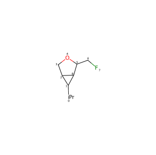 CC(C)C1C2COC(CF)C21